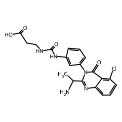 CC(N)c1nc2cccc(Cl)c2c(=O)n1-c1cccc(NC(=O)NCCC(=O)O)c1